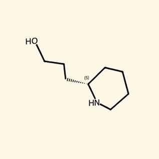 OCCC[C@@H]1CCCCN1